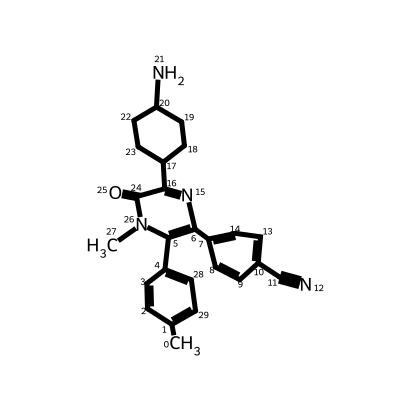 Cc1ccc(-c2c(-c3ccc(C#N)cc3)nc(C3CCC(N)CC3)c(=O)n2C)cc1